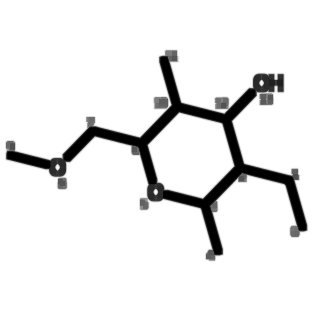 CCC1C(C)OC(COC)C(C)C1O